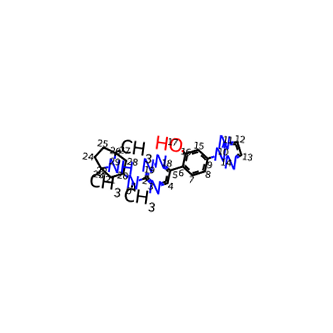 CN(c1ncc(-c2ccc(-n3nccn3)cc2O)nn1)[C@H]1C[C@]2(C)CC[C@](C)(C1)N2